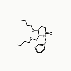 CCCCOCC1C(OCCCC)CCC(=O)N1Cc1ccccc1